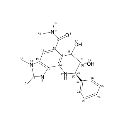 Cc1nc2c3c(c(C(=O)N(C)C)cc2n1C)C(O)[C@H](O)[C@@H](c1ccccc1)N3